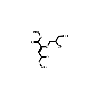 CCCCOC(=O)/C=C(\OCC(O)CO)C(=O)OCCCC